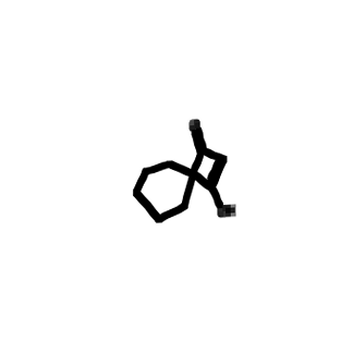 O=C1C=C(O)C12CCCCC2